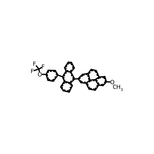 COc1cc2ccc3cc(-c4c5ccccc5c(-c5ccc(OC(F)(F)F)cc5)c5ccccc45)cc4ccc(c1)c2c34